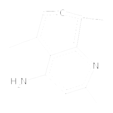 Cc1cc(N)c2c(C)ccc(C)c2n1